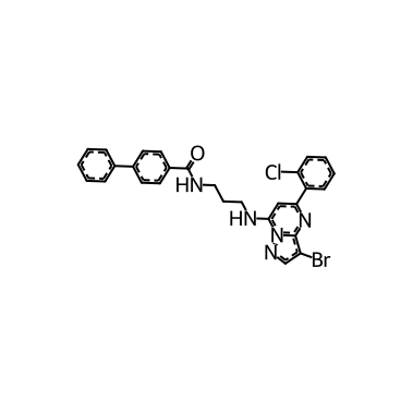 O=C(NCCCNc1cc(-c2ccccc2Cl)nc2c(Br)cnn12)c1ccc(-c2ccccc2)cc1